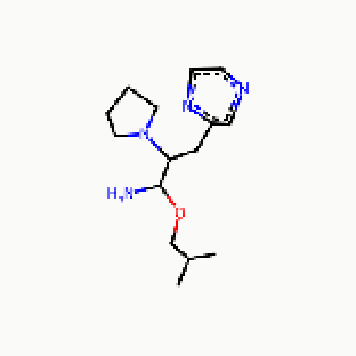 CC(C)COC(N)C(Cc1cnccn1)N1CCCC1